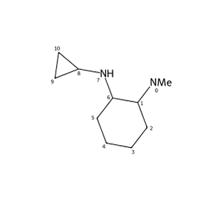 CNC1CCCCC1NC1CC1